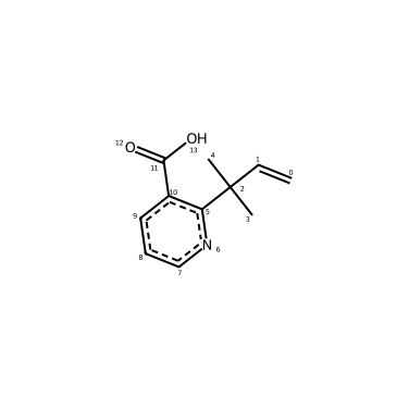 C=CC(C)(C)c1ncccc1C(=O)O